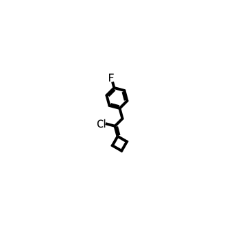 Fc1ccc(CC(Cl)=C2CCC2)cc1